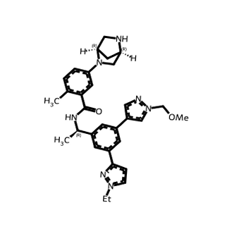 CCn1ccc(-c2cc(-c3cnn(COC)c3)cc([C@@H](C)NC(=O)c3cc(N4C[C@H]5C[C@@H]4CN5)ccc3C)c2)n1